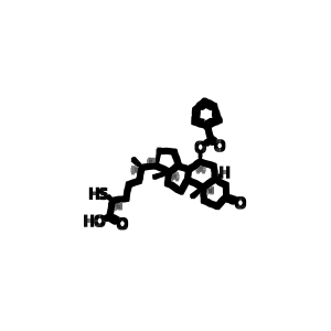 C[C@H](CCC[C@H](S)C(=O)O)[C@H]1CCC2C3C(CC[C@@]21C)[C@@]1(C)CCC(=O)C[C@@H]1C[C@H]3OC(=O)c1ccccc1